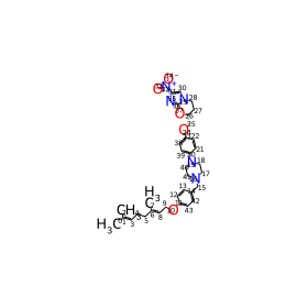 CC(C)=CCC/C(C)=C/COc1ccc(CN2CCN(c3ccc(OC[C@H]4CCn5cc([N+](=O)[O-])nc5O4)cc3)CC2)cc1